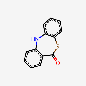 O=C1Sc2ccccc2Nc2ccccc21